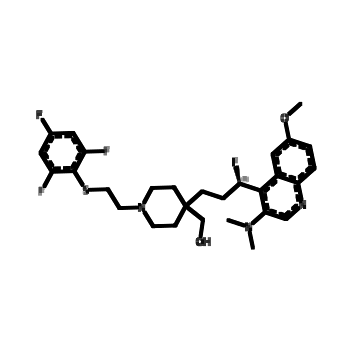 COc1ccc2ncc(N(C)C)c([C@H](F)CCC3(CO)CCN(CCSc4c(F)cc(F)cc4F)CC3)c2c1